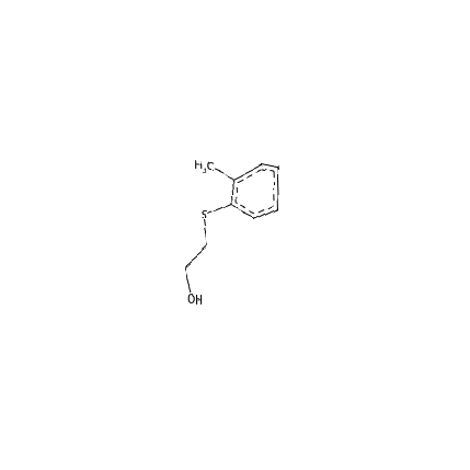 Cc1ccccc1SCCO